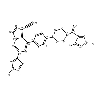 Cc1nn(C)cc1C(=O)N1CCN(c2ccc(-c3cc(-c4cnn(C)c4)cn4ncc(C#N)c34)cn2)CC1